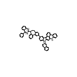 c1ccc(-c2nc(C3CCc4ccc(-c5ccc6c(c5)c5c7cccc8c7c(cc5n6-c5ccc6ccccc6c5)Sc5ccccc5-8)cc4-c4ccccc43)nc3ccccc23)cc1